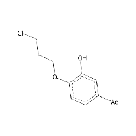 CC(=O)c1ccc(OCCCCl)c(O)c1